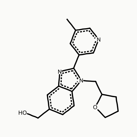 Cc1cncc(-c2nc3cc(CO)ccc3n2CC2CCCO2)c1